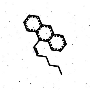 CCCC/C=[C]\c1c2ccccc2cc2ccccc12